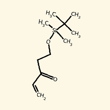 C=CC(=O)CCO[Si](C)(C)C(C)(C)C